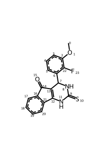 COc1cccc(C2NC(=S)NC3=C2C(=O)c2ccccc23)c1F